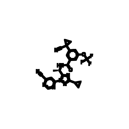 C[C@H](NC(=O)c1cc(OC(F)(F)F)cc(C2(C#N)CC2)c1)c1nc(C2CC2)nn1-c1cc(C#N)ncn1